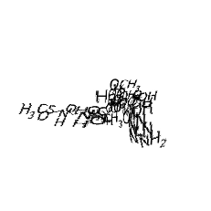 CC(=O)C(=O)O.CC(=O)SCCNC(=O)CCNC(=O)[C@H](O)C(C)(C)COP(=O)(O)OP(=O)(O)OC[C@H]1O[C@@H](n2cnc3c(N)ncnc32)[C@H](O)[C@@H]1OP(=O)(O)O